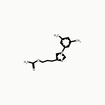 Cc1cc(C)cc(-n2cnc(CCCOC(N)=O)c2)c1